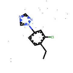 CCc1ccc(-n2cncn2)cc1Cl